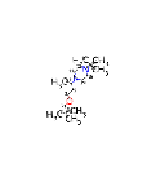 CC(CCOCC(C)(C)C)N1CCN(C(C)(C)C)CC1